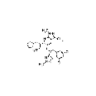 Cc1nn(C)c2nc(C(CN)CC3CCCC3)c(CN(Cc3cc(Cl)cc(Cl)c3)c3nnn(C)n3)cc12